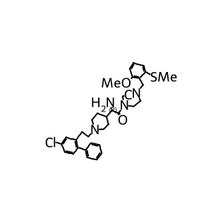 COc1cccc(SC)c1CN1CCN(C(=O)[C@H](N)C2CCN(CCc3cc(Cl)ccc3-c3ccccc3)CC2)CC1